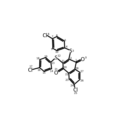 O=C1C(Sc2ccc(Cl)cc2)=C(Sc2ccc(Cl)cc2)C(=O)c2cc(Cl)ccc21